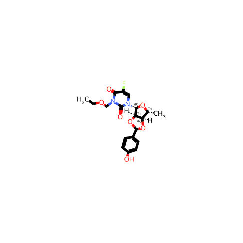 CCOCn1c(=O)c(F)cn([C@@H]2O[C@H](C)[C@H]3OC(c4ccc(O)cc4)O[C@H]32)c1=O